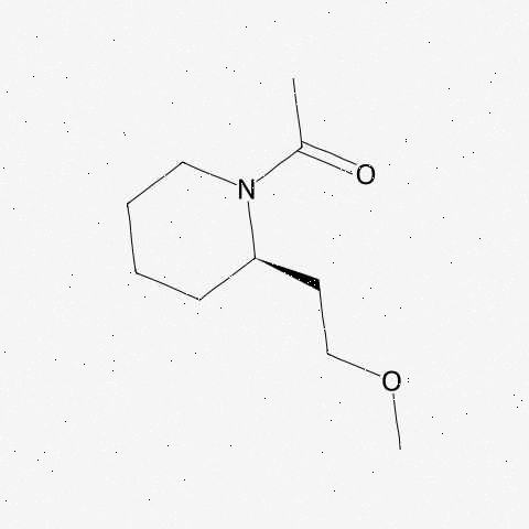 COCC[C@H]1CCCCN1C(C)=O